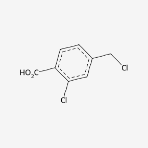 O=C(O)c1ccc(CCl)cc1Cl